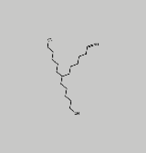 N#CCCCCCC(CCCCCC#N)CCCCCC=N